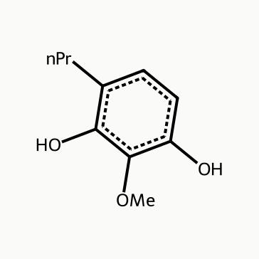 CCCc1ccc(O)c(OC)c1O